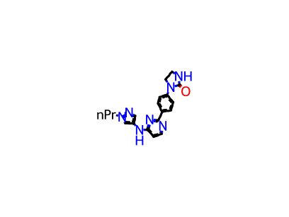 CCCn1cc(Nc2ccnc(-c3ccc(N4CCNC4=O)cc3)n2)cn1